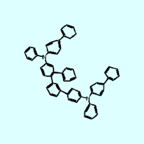 C1=CCCC(c2ccc(N(c3ccccc3)c3ccc(-c4cccc(-c5ccc(N(c6ccccc6)c6ccc(-c7ccccc7)cc6)cc5)c4)c(-c4ccccc4)c3)cc2)=C1